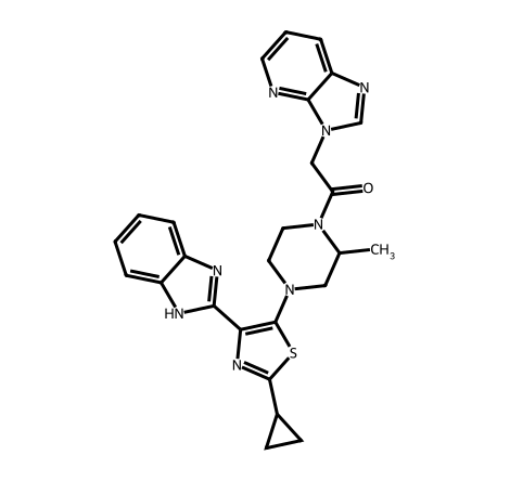 CC1CN(c2sc(C3CC3)nc2-c2nc3ccccc3[nH]2)CCN1C(=O)Cn1cnc2cccnc21